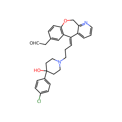 O=CCc1ccc2c(c1)C(=CCCN1CCC(O)(c3ccc(Cl)cc3)CC1)c1cccnc1CO2